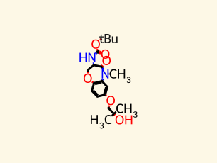 CN1C(=O)[C@@H](NC(=O)OC(C)(C)C)COc2ccc(OCC(C)(C)O)cc21